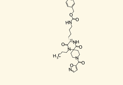 CCCN1C(=O)[C@H](CCCCNC(=O)OCc2ccccc2)NC(=O)C12CCN(C(=O)c1ccno1)CC2